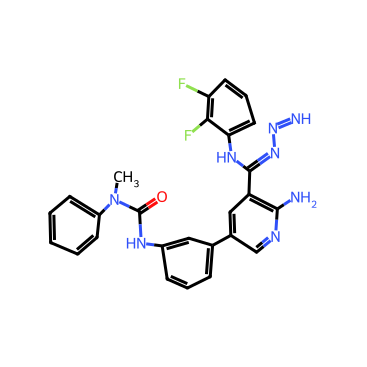 CN(C(=O)Nc1cccc(-c2cnc(N)c(/C(=N/N=N)Nc3cccc(F)c3F)c2)c1)c1ccccc1